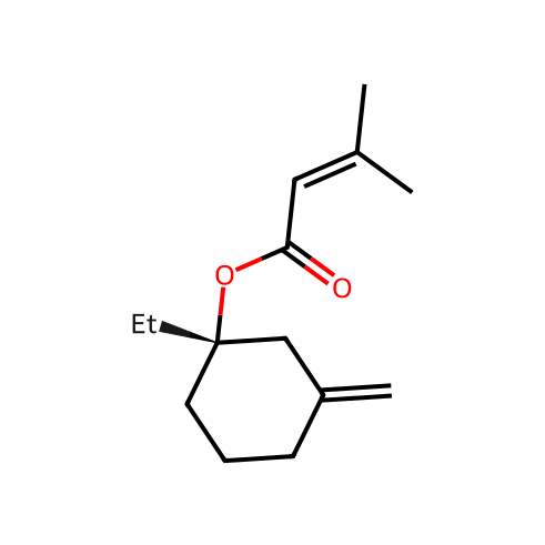 C=C1CCC[C@](CC)(OC(=O)C=C(C)C)C1